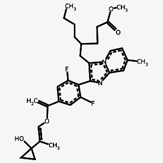 C=C(O/C=C(\C)C1(O)CC1)c1cc(F)c(-c2nc3cc(C)ccn3c2CC(CCCC)CCC(=O)OC)c(F)c1